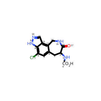 O=C(O)NC1Cc2cc(Cl)c3[nH]ncc3c2CNC1=O